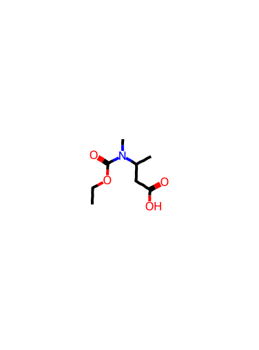 CCOC(=O)N(C)C(C)CC(=O)O